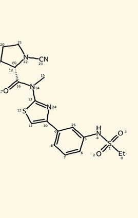 CCS(=O)(=O)Nc1cccc(-c2csc(N(C)C(=O)[C@@H]3CCCN3C#N)n2)c1